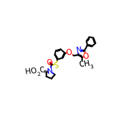 Cc1oc(-c2ccccc2)nc1COc1cccc(SC(=O)N2CCC[C@@H]2C(=O)O)c1